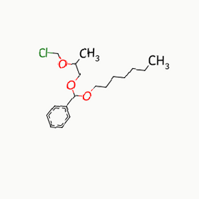 CCCCCCCOC(OCC(C)OCCl)c1ccccc1